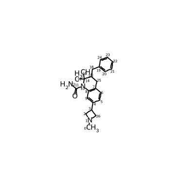 CN1CC(c2ccc3c(c2)N(C(N)=O)C(C)(C)C(Cc2ccccc2)C3)C1